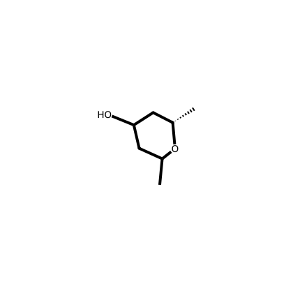 CC1CC(O)C[C@H](C)O1